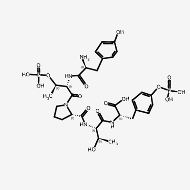 C[C@@H](O)[C@H](NC(=O)[C@@H]1CCCN1C(=O)[C@@H](NC(=O)[C@@H](N)Cc1ccc(O)cc1)[C@@H](C)OP(=O)(O)O)C(=O)N[C@@H](Cc1ccc(OP(=O)(O)O)cc1)C(=O)O